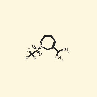 CC(C)C1=CCCCN(S(=O)(=O)C(F)(F)F)C1